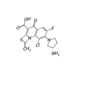 C=c1sc2c(C(=O)O)c(=O)c3cc(F)c(N4CC[C@H](N)C4)c(Cl)c3n12